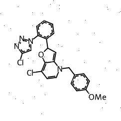 COc1ccc(CN2C=CC(Cl)=C3OC(c4ccccc4-n4cc(Cl)nn4)C=C32)cc1